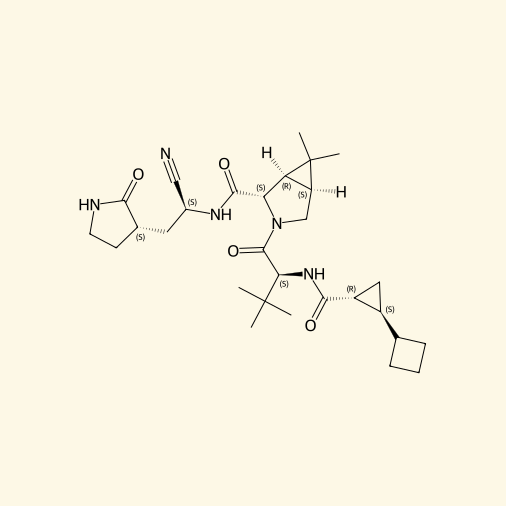 CC(C)(C)[C@H](NC(=O)[C@@H]1C[C@H]1C1CCC1)C(=O)N1C[C@H]2[C@@H]([C@H]1C(=O)N[C@H](C#N)C[C@@H]1CCNC1=O)C2(C)C